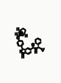 CN1[C@@H]2CC[C@H]1CC(Oc1ccc(-c3n[nH]c4ccc(C(=O)N[C@@H](c5ccccc5)C5CC5)cc34)cc1)C2